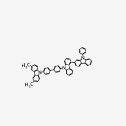 Cc1ccc2c(c1)c1cc(C)ccc1n2-c1ccc(-c2ccc(-n3c4ccccc4c4c(-c5ccc6c7ccccc7n(-c7ccccc7)c6c5)cccc43)cc2)cc1